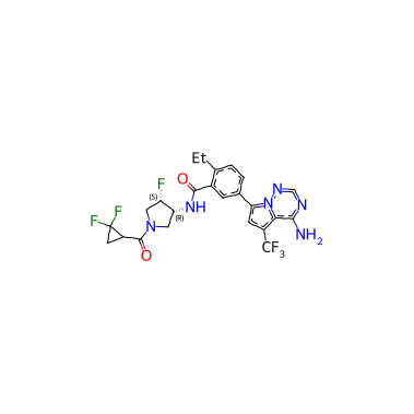 CCc1ccc(-c2cc(C(F)(F)F)c3c(N)ncnn23)cc1C(=O)N[C@@H]1CN(C(=O)C2CC2(F)F)C[C@@H]1F